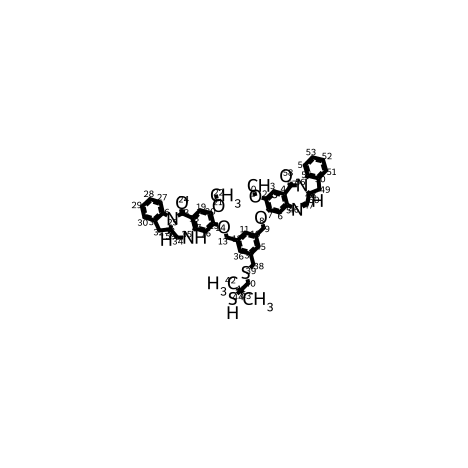 COc1cc2c(cc1OCc1cc(COc3cc4c(cc3OC)C(=O)N3c5ccccc5C[C@H]3CN4)cc(CSCC(C)(C)S)c1)N=C[C@@H]1Cc3ccccc3N1C2=O